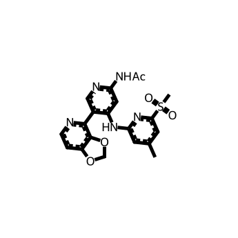 CC(=O)Nc1cc(Nc2cc(C)cc(S(C)(=O)=O)n2)c(-c2nccc3c2OCO3)cn1